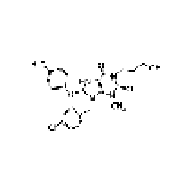 Cc1ccc(OC2Nc3c(n(C)c(=O)n(CCCO)c3=O)N2Cc2ccc(Cl)cc2)cc1